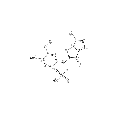 CCOc1cc([C@@H](CS(C)(=O)=O)N2Cc3c(N)csc3C2=O)ccc1OC